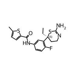 CC[C@@]1(c2cc(NC(=O)c3ccc(C)s3)ccc2F)CCN=C(N)S1